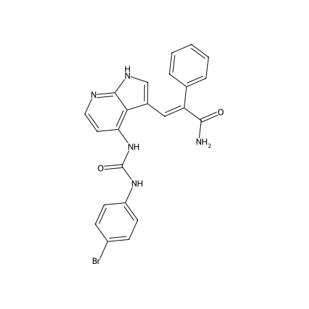 NC(=O)/C(=C/c1c[nH]c2nccc(NC(=O)Nc3ccc(Br)cc3)c12)c1ccccc1